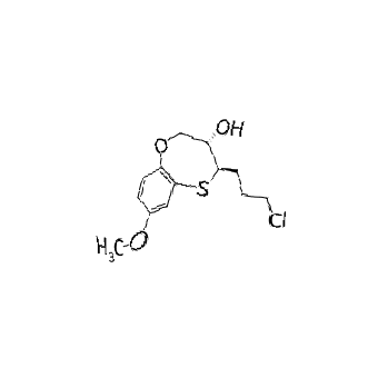 COc1ccc2c(c1)S[C@H](CCCCl)[C@@H](O)CO2